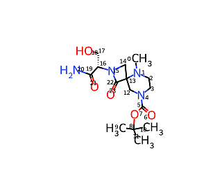 CN1CCN(C(=O)OC(C)(C)C)CC12CN([C@@H](CO)C(N)=O)C2=O